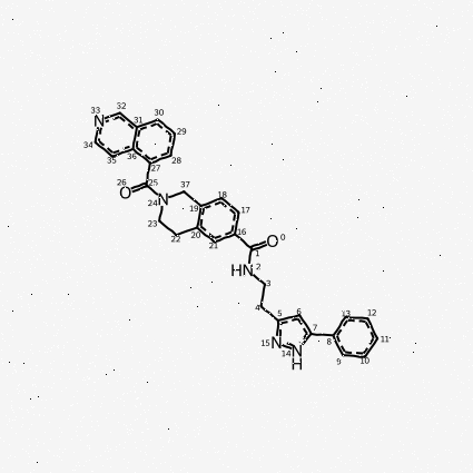 O=C(NCCc1cc(-c2ccccc2)[nH]n1)c1ccc2c(c1)CCN(C(=O)c1cccc3cnccc13)C2